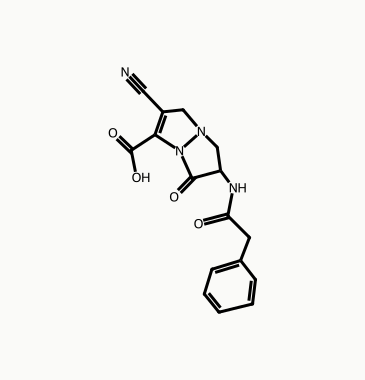 N#CC1=C(C(=O)O)N2C(=O)C(NC(=O)Cc3ccccc3)CN2C1